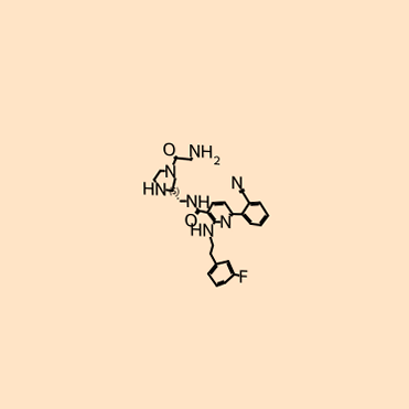 N#Cc1ccccc1-c1ccc(C(=O)NC[C@H]2CN(C(=O)CN)CCN2)c(NCCc2cccc(F)c2)n1